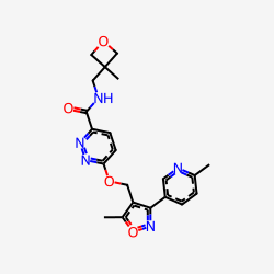 Cc1ccc(-c2noc(C)c2COc2ccc(C(=O)NCC3(C)COC3)nn2)cn1